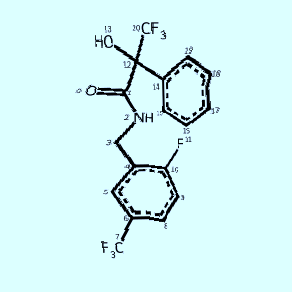 O=C(NCc1cc(C(F)(F)F)ccc1F)C(O)(c1ccccc1)C(F)(F)F